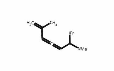 C=C(C)C=C=CC(NC)C(C)C